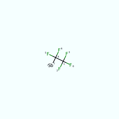 FC(F)(F)[C](F)(F)[Sb]